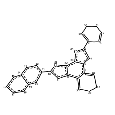 C1=CC(c2cc3c4c(c5cc(-c6ccc7ccccc7c6)oc5c3o2)=CCCC=4)=CCC1